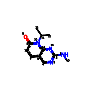 CNc1ncc2ccc(=O)n(C(C)C)c2n1